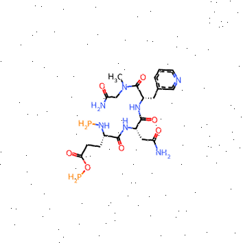 CN(CC(N)=O)C(=O)[C@H](Cc1cccnc1)NC(=O)[C@H](CC(N)=O)NC(=O)[C@H](CCC(=O)OP)NP